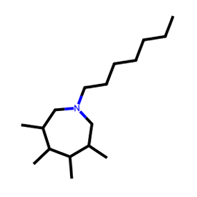 CCCCCCCN1CC(C)C(C)C(C)C(C)C1